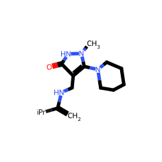 C=C(NCc1c(N2CCCCC2)n(C)[nH]c1=O)C(C)C